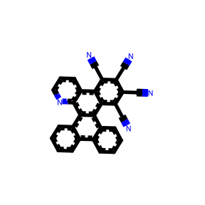 N#Cc1c(C#N)c(C#N)c2c(c1C#N)c1cccnc1c1c3ccccc3c3ccccc3c21